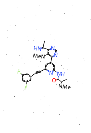 CNc1c(C(C)=N)ncnc1-c1cc(C#Cc2cc(F)cc(F)c2)nc(NC(=O)C(C)NC)c1